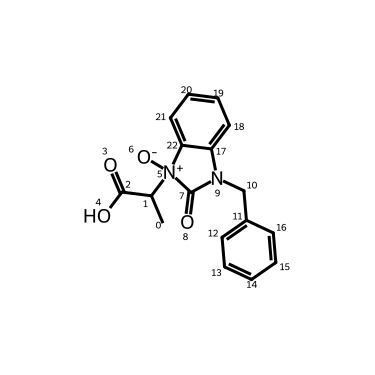 CC(C(=O)O)[N+]1([O-])C(=O)N(Cc2ccccc2)c2ccccc21